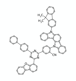 CC1(C)c2ccccc2-c2ccc(-n3c4ccccc4c4c3ccc3c5ccccc5n(-c5ccc(-c6nc(-c7ccc(-c8ccccc8)cc7)nc(-c7cccc8c7oc7ccccc78)n6)cc5C#N)c34)cc21